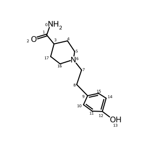 NC(=O)C1CCN(CCc2ccc(O)cc2)CC1